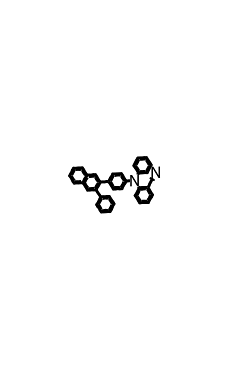 N#Cc1ccccc1N(c1ccccc1)c1ccc(-c2cc3ccccc3cc2-c2ccccc2)cc1